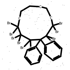 BrC1(Br)CCCCCCC(Br)(Br)C(Br)(Br)C(c2ccccc2)(c2ccccc2)C(Br)(Br)C1(Br)Br